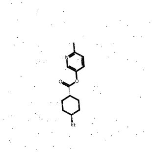 CC[C@H]1CC[C@H](C(=O)Oc2ccc(C)nc2)CC1